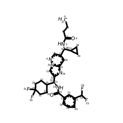 CCCC(=O)N[C@@H](c1cnn2cc([C@@H](NC(=O)c3cccc(C(F)F)c3)C3CCC(F)(F)CC3)nc2c1)C1CC1